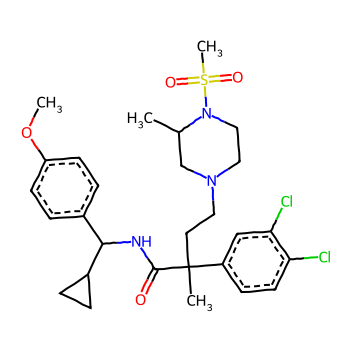 COc1ccc(C(NC(=O)C(C)(CCN2CCN(S(C)(=O)=O)C(C)C2)c2ccc(Cl)c(Cl)c2)C2CC2)cc1